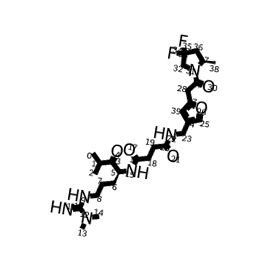 CC(C)C(=O)[C@H](CCCNC(=N)N(C)C)NC(=O)CCC(=O)NCc1coc(CC(=O)N2CC(F)(F)C[C@H]2C)c1